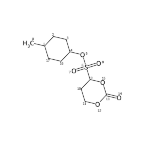 CC1CCC(OS(=O)(=O)C2CCOC(=O)O2)CC1